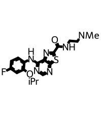 CNCCNC(=O)c1nc2c(Nc3ccc(F)cc3OC(C)C)ncnc2s1